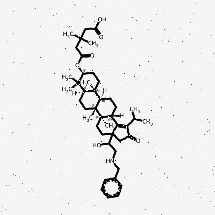 CC(C)C1=C2[C@H]3CC[C@@H]4[C@@]5(C)CC[C@H](OC(=O)CC(C)(C)CC(=O)O)C(C)(C)[C@@H]5CC[C@@]4(C)[C@]3(C)CCC2(C(O)CNCc2ccccc2)CC1=O